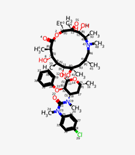 CC[C@H]1OC(=O)[C@H](C)[C@@H](O)[C@H](C)[C@@H](O[C@@H]2O[C@H](C)C[C@H](N(C)C(=O)N(C)c3ccc(Cl)cc3)[C@H]2Oc2ccccc2)[C@](C)(O)C[C@@H](C)CN(C)[C@H](C)[C@@H](O)[C@]1(C)O